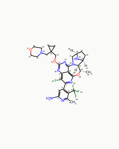 Cc1nc(N)cc(-c2nc3c4c(nc(OCC5(CN6CCOCC6)CC5)nc4c2F)N2C[C@H]4CC[C@H](N4)[C@H]2[C@H](C)O3)c1C(F)(F)F